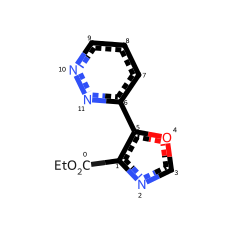 CCOC(=O)c1ncoc1-c1cccnn1